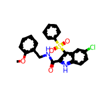 COc1ccccc1CNC(=O)c1[nH]c2ccc(Cl)cc2c1S(=O)(=O)c1ccccc1